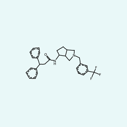 O=C(CC(c1ccccc1)c1ccccc1)NC1CCC2CN(Cc3cccc(C(F)(F)F)c3)CC21